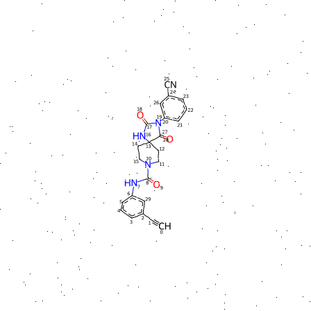 C#Cc1cccc(NC(=O)N2CCC3(CC2)NC(=O)N(c2cccc(C#N)c2)C3=O)c1